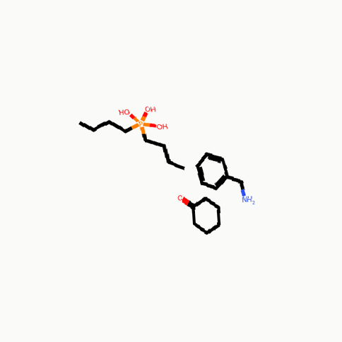 CCCCP(O)(O)(O)CCCC.NCc1ccccc1.O=C1CCCCC1